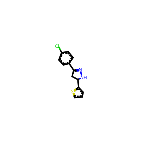 Clc1ccc(C2=NNC(c3cccs3)C2)cc1